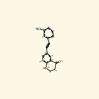 N#Cc1cccc(C#Cc2cnc3c(c2)C(=O)CCN3)c1